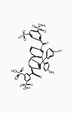 O=C(c1cc(S(=O)(=O)O)cc(S(=O)(=O)O)c1)c1ccc2c(c1)C(c1ccc(O)cc1)(c1ccc(O)cc1)c1cc(C(=O)c3cc(S(=O)(=O)O)cc(S(=O)(=O)O)c3)ccc1-2